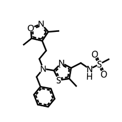 Cc1noc(C)c1CCN(Cc1ccccc1)c1nc(CNS(C)(=O)=O)c(C)s1